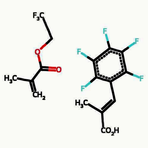 C=C(C)C(=O)OCC(F)(F)F.CC(=Cc1c(F)c(F)c(F)c(F)c1F)C(=O)O